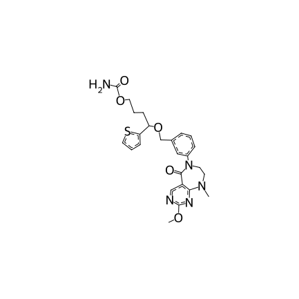 COc1ncc2c(n1)N(C)CCN(c1cccc(COC(CCCOC(N)=O)c3cccs3)c1)C2=O